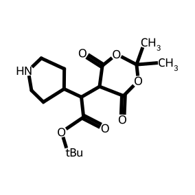 CC(C)(C)OC(=O)C(C1CCNCC1)C1C(=O)OC(C)(C)OC1=O